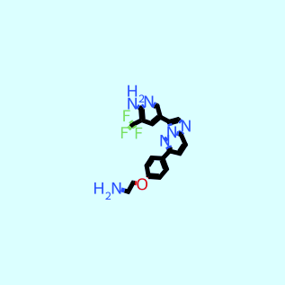 NCCOc1ccc(-c2ccc3ncc(-c4cnc(N)c(C(F)(F)F)c4)n3n2)cc1